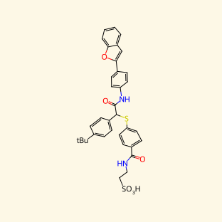 CC(C)(C)c1ccc(C(Sc2ccc(C(=O)NCCS(=O)(=O)O)cc2)C(=O)Nc2ccc(-c3cc4ccccc4o3)cc2)cc1